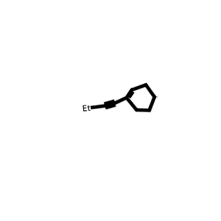 CCC#CC1=CC[CH]CC1